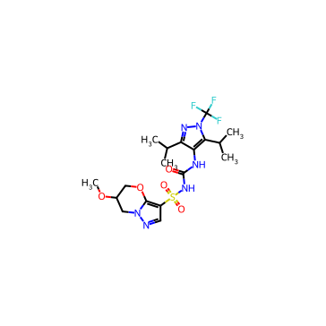 COC1COc2c(S(=O)(=O)NC(=O)Nc3c(C(C)C)nn(C(F)(F)F)c3C(C)C)cnn2C1